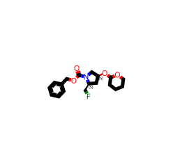 O=C(OCc1ccccc1)N1C[C@@H](OC2CCCCO2)C[C@H]1CF